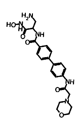 NCC(NC(=O)c1ccc(-c2ccc(NC(=O)CN3CCOCC3)cc2)cc1)C(=O)NO